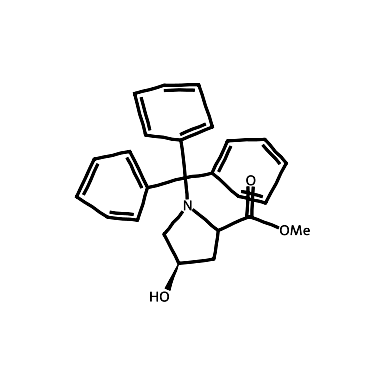 COC(=O)C1C[C@@H](O)CN1C(c1ccccc1)(c1ccccc1)c1ccccc1